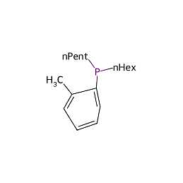 CCCCCCP(CCCCC)c1ccccc1C